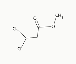 COC(=O)CC(Cl)Cl